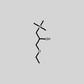 CCOCC(O)C[N+](C)(C)C